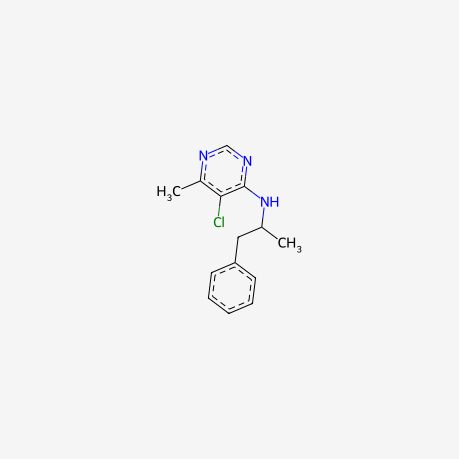 Cc1ncnc(NC(C)Cc2ccccc2)c1Cl